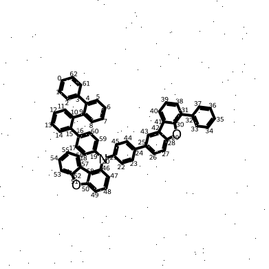 c1ccc(-c2ccccc2-c2ccccc2-c2ccc(N(c3ccc(-c4ccc5oc6c(-c7ccccc7)cccc6c5c4)cc3)c3cccc4oc5ccccc5c34)cc2)cc1